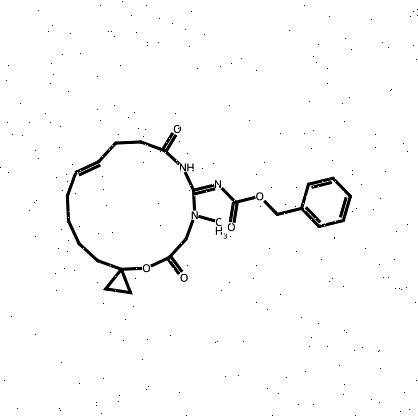 CN1CC(=O)OC2(CCCC/C=C/CCC(=O)N/C1=N/C(=O)OCc1ccccc1)CC2